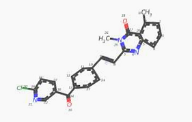 Cc1cccc2nc(/C=C/c3ccc(C(=O)c4ccc(Cl)nc4)cc3)n(C)c(=O)c12